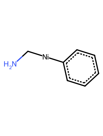 N[CH2][Ni][c]1ccccc1